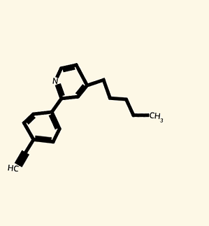 C#Cc1ccc(-c2cc(CCCCC)ccn2)cc1